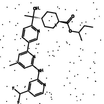 CCC(C)OC(=O)[C@H]1CC[C@H](C(C)(O)c2ccc(-c3cc(C)cc(Nc4cc(C(F)F)ccn4)n3)cn2)CC1